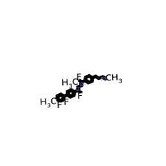 C/C=C/CCC1CC=C(/C(=C/C=C(\CF)c2ccc(-c3ccc(C)c(F)c3F)cc2)C(C)F)CC1